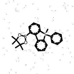 CC1(C)OB(c2cccc3c2-c2ccccc2S3(C)c2ccccc2)OC1(C)C